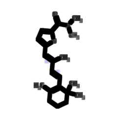 CC1=C(/C=C/C(C)=C/c2ccc(C(=O)N(C)C)o2)C(C)(C)CCC1